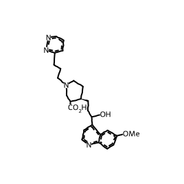 COc1ccc2nccc(C(O)CC[C@@H]3CCN(CCCc4cccnn4)C[C@@H]3C(=O)O)c2c1